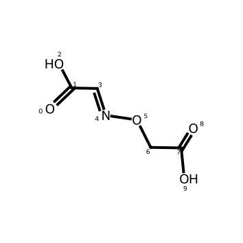 O=C(O)C=NOCC(=O)O